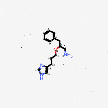 NCC(Cc1ccccc1)OCCCc1c[nH]cn1